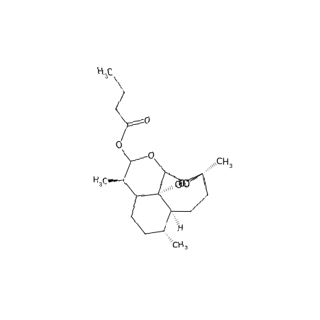 CCCC(=O)OC1OC2O[C@]3(C)CC[C@H]4[C@H](C)CCC([C@H]1C)[C@@]24OO3